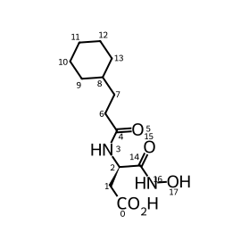 O=C(O)C[C@@H](NC(=O)CCC1CCCCC1)C(=O)NO